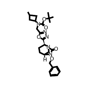 CC1CC(N(Cc2nnc([C@@H]3CC[C@@H]4CN3C(=O)N4OCc3ccccc3)o2)C(=O)OC(C)(C)C)C1